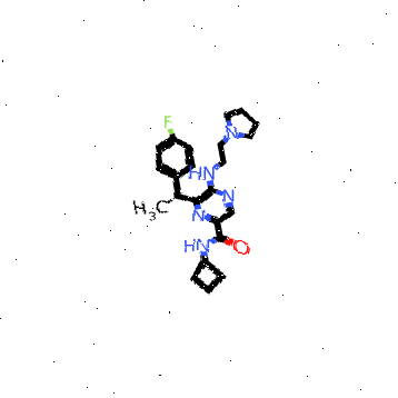 C[C@H](c1ccc(F)cc1)c1nc(C(=O)NC2CCC2)cnc1NCCN1CCCC1